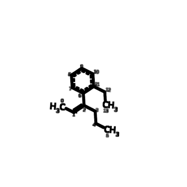 C/[C]=C(/CCC)c1ccccc1CC